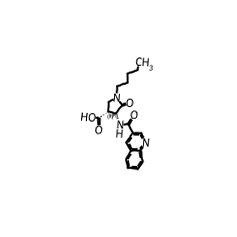 CCCCCN1C[C@@H](C(=O)O)[C@@H](NC(=O)c2cnc3ccccc3c2)C1=O